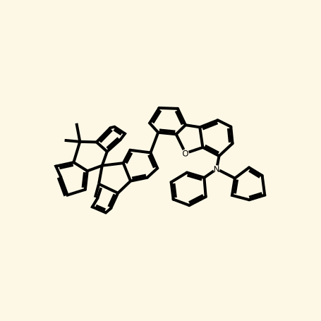 CC1(C)c2ccccc2C2(c3ccccc3-c3ccc(-c4cccc5c4oc4c(N(c6ccccc6)c6ccccc6)cccc45)cc32)c2ccccc21